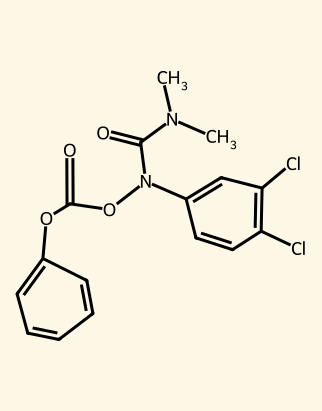 CN(C)C(=O)N(OC(=O)Oc1ccccc1)c1ccc(Cl)c(Cl)c1